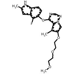 COCCOCCOc1cn2ncnc(Oc3ccc4[nH]c(C)cc4c3F)c2c1C